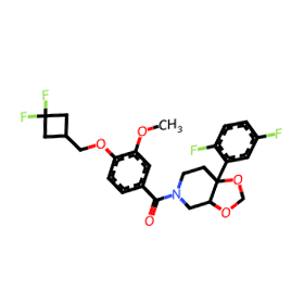 COc1cc(C(=O)N2CCC3(c4cc(F)ccc4F)OCOC3C2)ccc1OCC1CC(F)(F)C1